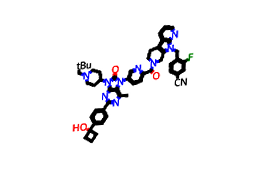 Cc1nc(-c2ccc(C3(O)CCC3)cc2)nc2c1n(-c1ccc(C(=O)N3CCc4c(n(Cc5ccc(C#N)cc5F)c5ncccc45)C3)nc1)c(=O)n2C1CCN(CC(C)(C)C)CC1